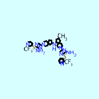 C[C@@H]1C[C@@H](N[C@H]2CCC3(CCN(c4cnc(Sc5cccnc5C(F)(F)F)c(N)n4)CC3)C2)C2(CCN(c3cnc(Sc4cccnc4C(F)(F)F)c(N)n3)CC2)C1